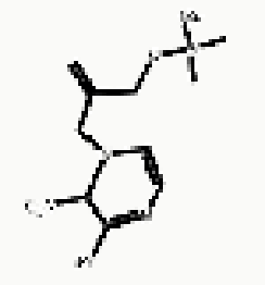 C=C(CO[Si](C)(C)C(C)(C)C)CN1C=CN=C(C(C)C)C1[N+](=O)[O-]